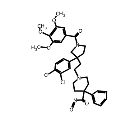 COc1cc(C(=O)N2CCC(CCN3CCC(C(=O)N=O)(c4ccccc4)CC3)(c3ccc(Cl)c(Cl)c3)C2)cc(OC)c1OC